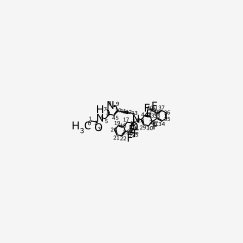 CCC(=O)NCc1cncc(C#CCN(C(=O)Cc2ccccc2C(F)(F)F)C2=CCC(F)(c3ccccc3C(F)(F)F)C=C2)c1